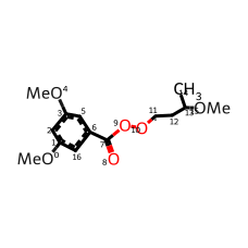 COc1cc(OC)cc(C(=O)OO[CH]CC(C)OC)c1